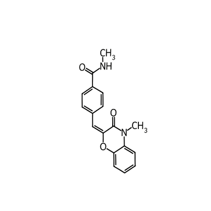 CNC(=O)c1ccc(C=C2Oc3ccccc3N(C)C2=O)cc1